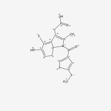 CSc1cc(C(=O)N2C(C)=C(CC(=O)O)C3=C(F)C(O)=CCC32)cs1